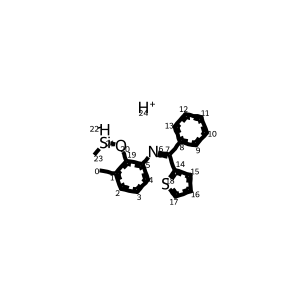 Cc1cccc(N=C(c2ccccc2)c2cccs2)c1O[SiH](C)C.[H+]